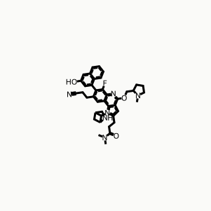 CN(C)C(=O)CCc1cc2c(OCC3CCCN3C)nc3c(F)c(-c4cc(O)cc5ccccc45)c(CCC#N)cc3c2n1C1C2CNC1C2